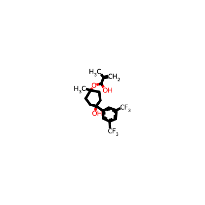 C=C(C)C(O)OC1(C)CCC(O)(c2cc(C(F)(F)F)cc(C(F)(F)F)c2)CC1